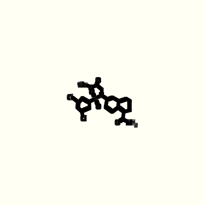 CC(C)(C)OC(=O)CN(c1ccc2c(C(N)=O)cccc2c1)S(=O)(=O)c1cc(Cl)cc(Cl)c1